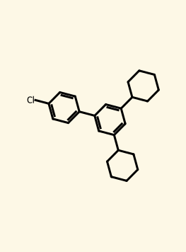 Clc1ccc(-c2cc(C3CCCCC3)cc(C3CCCCC3)c2)cc1